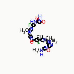 CNc1ccn(-c2ccnc3c2cc([C@H](C)N2CC=C(c4c(C)cc(C(=O)N5CCC(CN6CCN(c7ccc(N[C@H]8CCC(=O)NC8=O)cc7F)C[C@@H]6C)CC5)cc4F)CC2)n3C)c(=O)c1